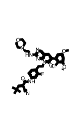 COc1cc(OC)c(Cl)c(-c2cc3cnc(NCCN4CCOCC4)nc3n(CCc3ccc(NC(=O)C(C#N)=CC(C)(C)C)cc3F)c2=O)c1